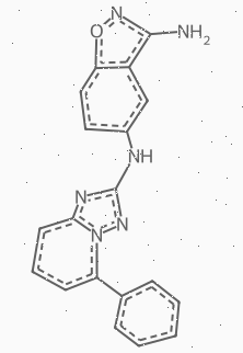 Nc1noc2ccc(Nc3nc4cccc(-c5ccccc5)n4n3)cc12